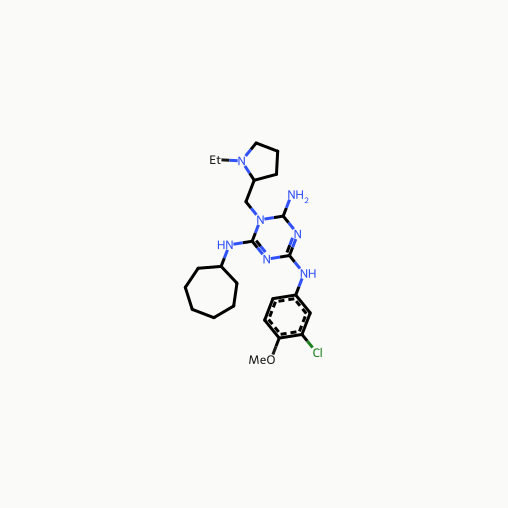 CCN1CCCC1CN1C(NC2CCCCCC2)=NC(Nc2ccc(OC)c(Cl)c2)=NC1N